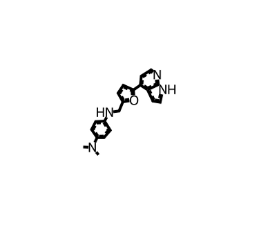 CN(C)c1ccc(NCc2ccc(-c3ccnc4[nH]ccc34)o2)cc1